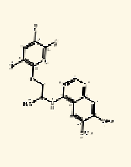 COc1cc2ncnc(NC(C)COc3nc(Cl)c(Cl)cc3Cl)c2cc1OC